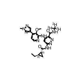 [2H]C([2H])([2H])NC(=O)c1nnc(NC(=O)[C@@H]2C[C@H]2CC)cc1Nc1nccc(-c2cnn(C)n2)c1OC